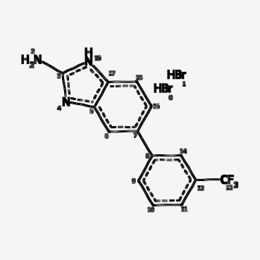 Br.Br.Nc1nc2cc(-c3cccc(C(F)(F)F)c3)ccc2[nH]1